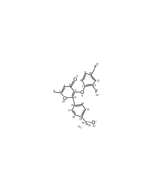 Cc1cc(=O)c(Oc2ccc(F)cc2F)c(-c2ccc([S@@+](C)[O-])cc2)o1